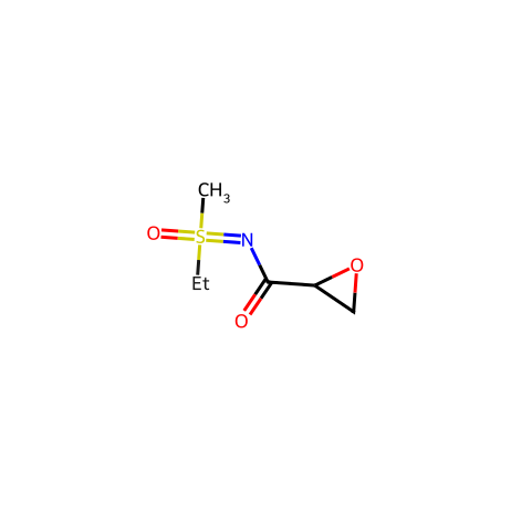 CCS(C)(=O)=NC(=O)C1CO1